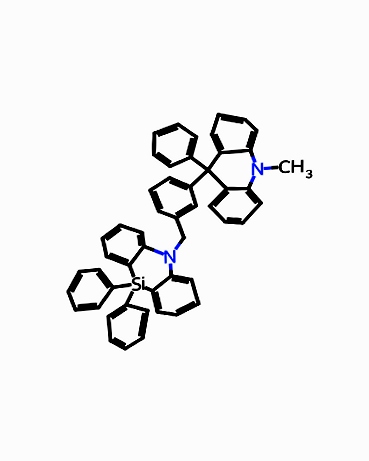 CN1c2ccccc2C(c2ccccc2)(c2cccc(CN3c4ccccc4[Si](c4ccccc4)(c4ccccc4)c4ccccc43)c2)c2ccccc21